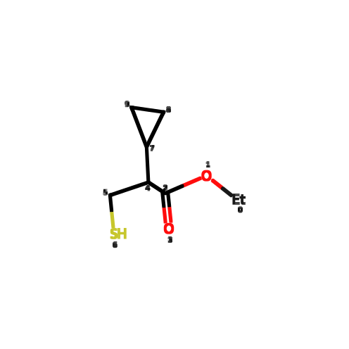 CCOC(=O)C(CS)C1CC1